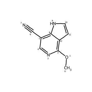 COc1ncc(C#N)c2[nH]ccc12